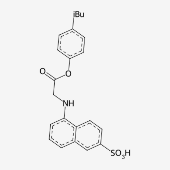 CCC(C)c1ccc(OC(=O)CNc2cccc3cc(S(=O)(=O)O)ccc23)cc1